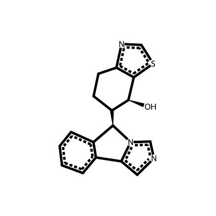 O[C@@H]1c2scnc2CCC1[C@@H]1c2ccccc2-c2cncn21